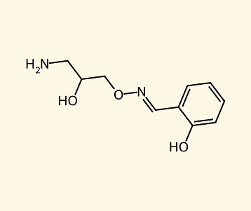 NCC(O)CON=Cc1ccccc1O